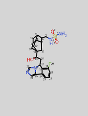 NS(=O)(=O)NCC1C2CC3CC1CC(C(O)CC1c4c(F)cccc4-c4cncn41)(C3)C2